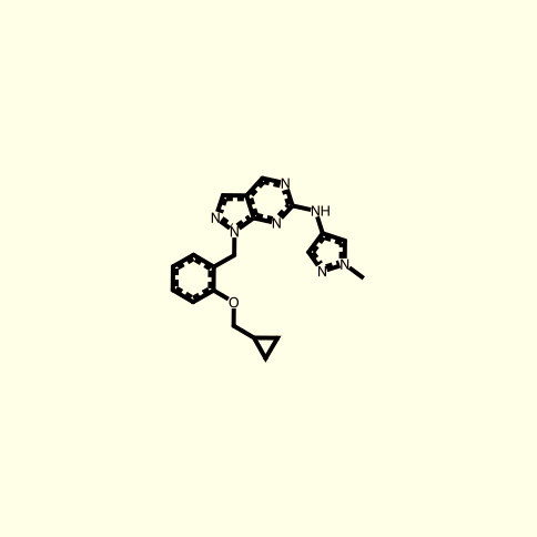 Cn1cc(Nc2ncc3cnn(Cc4ccccc4OCC4CC4)c3n2)cn1